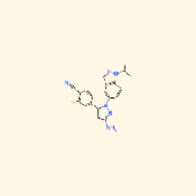 CC(C)n1ncc2cc(-n3nc(N)cc3-c3ccc(C#N)c(F)c3)ccc21